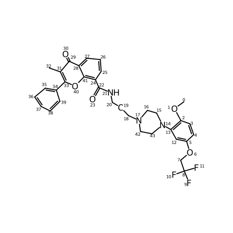 COc1ccc(OCC(F)(F)F)cc1N1CCN(CCCNC(=O)c2cccc3c(=O)c(C)c(-c4ccccc4)oc23)CC1